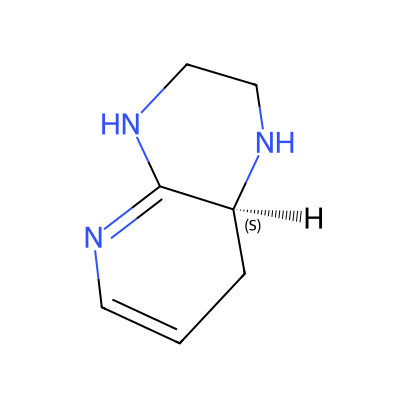 C1=CN=C2NCCN[C@H]2C1